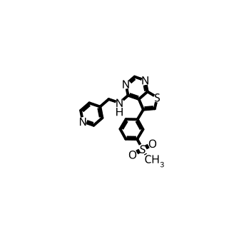 CS(=O)(=O)c1cccc(-c2csc3ncnc(NCc4ccncc4)c23)c1